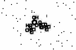 O=P(Cl)(Cl)Cl.O=P(Cl)(Cl)Cl.O=P(Cl)(Cl)Cl.Oc1cccc(O)c1